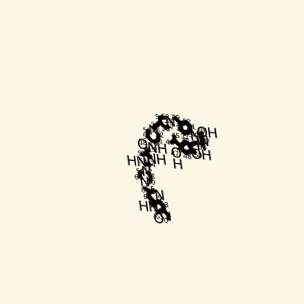 CCc1cc2ncc(CN3CCN(C4CNC(C(=O)NC5CCN(CC6CCN(Cc7ccc(-n8c(O)nnc8-c8cc(C(C)C)c(O)cc8O)cc7)CC6)CC5)CN4)CC3)cc2[nH]c1=O